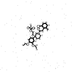 CCOc1ccc([C@@]2(CCOS(C)(=O)=O)CCCN(C(=O)Cc3c(F)cccc3Cl)C2)cc1OCC